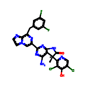 C[C@]1(c2ncc(Cl)c(O)c2Cl)C(=O)Nc2nc(-c3cn4ccnc4c(Cc4cc(F)cc(F)c4)n3)nc(N)c21